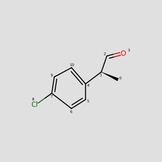 C[C@H](C=O)c1ccc(Cl)cc1